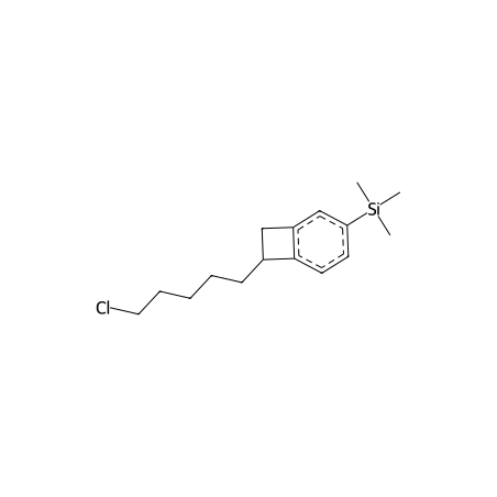 C[Si](C)(C)c1ccc2c(c1)CC2CCCCCCl